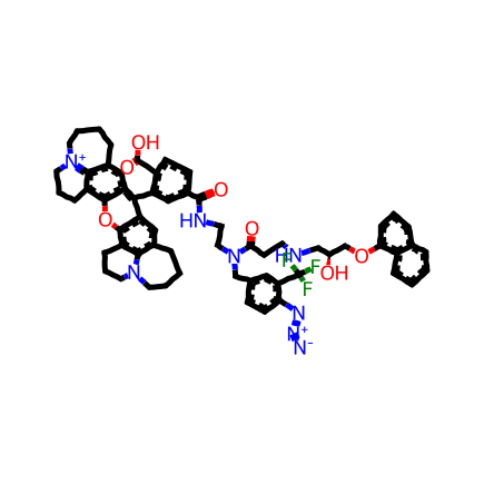 [N-]=[N+]=Nc1ccc(CN(CCNC(=O)c2ccc(C(=O)O)c(C3=c4cc5c6c(c4Oc4c3cc3c7c4CCCN7CCCC3)CCC[N+]=6CCCC5)c2)C(=O)CCNC[C@H](O)COc2cccc3ccccc23)cc1C(F)(F)F